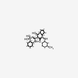 C[C@H]1CCC[C@@H](Nn2c(=O)c(C3=NS(O)(O)c4ccccc4N3)c(O)c3sccc32)C1